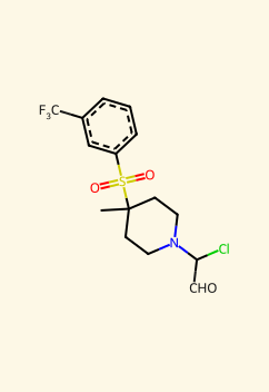 CC1(S(=O)(=O)c2cccc(C(F)(F)F)c2)CCN(C(Cl)C=O)CC1